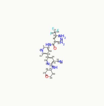 Cc1ncc(NC(=O)C(/C=C(\N)C(F)(F)F)=C/N)cc1-c1cnc(NC2CCOCC2)c(C#N)c1